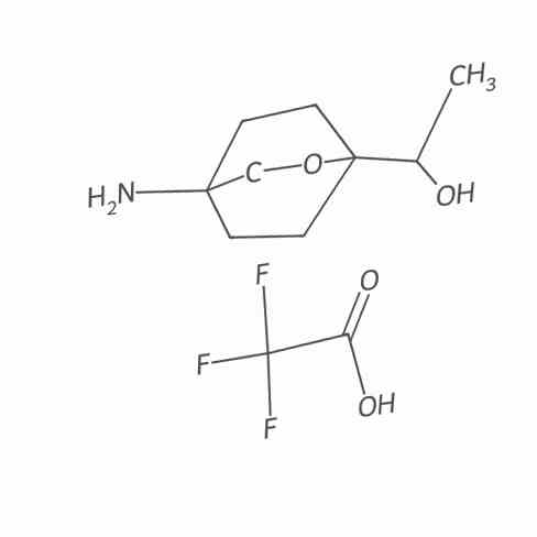 CC(O)C12CCC(N)(CC1)CO2.O=C(O)C(F)(F)F